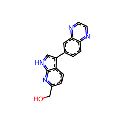 OCc1ccc2c(-c3ccc4nccnc4c3)c[nH]c2n1